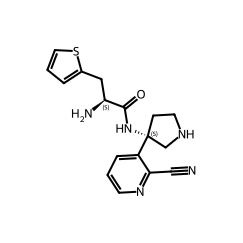 N#Cc1ncccc1[C@@]1(NC(=O)[C@@H](N)Cc2cccs2)CCNC1